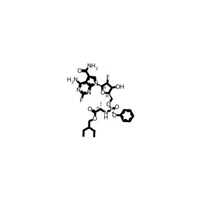 CCC(CC)COC(=O)[C@H](C)NP(=O)(OC[C@H]1O[C@@H](n2cc(C(N)=O)c3c(N)nc(F)nc32)C(F)C1O)Oc1ccccc1